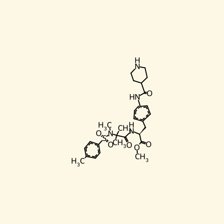 COC(=O)[C@H](Cc1ccc(NC(=O)C2CCNCC2)cc1)NC(=O)C(C)(C)N(C)S(=O)(=O)c1ccc(C)cc1